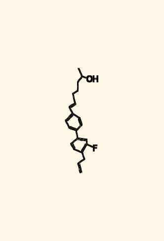 C=CCc1ccc(-c2ccc(C=CCCCC(C)O)cc2)cc1F